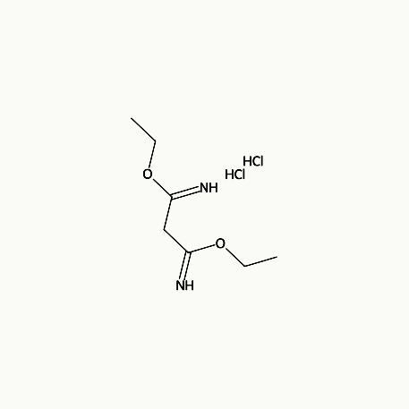 CCOC(=N)CC(=N)OCC.Cl.Cl